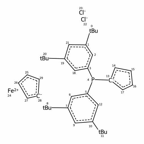 CC(C)(C)c1cc(P(c2cc(C(C)(C)C)cc(C(C)(C)C)c2)[c-]2cccc2)cc(C(C)(C)C)c1.[Cl-].[Cl-].[Fe+2].c1cc[cH-]c1